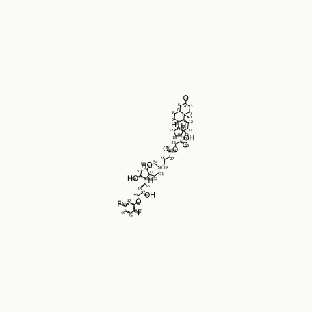 C[C@]12CCC(=O)C=C1CC[C@@H]1C2=CC[C@@]2(C)[C@H]1CC[C@]2(O)C(=O)COC(=O)CCC[C@@H]1CC[C@H]2[C@H](/C=C/[C@H](O)COc3cc(F)ccc3F)[C@@H](O)C[C@H]2OC1